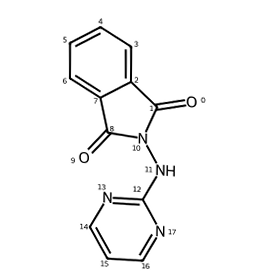 O=C1c2ccccc2C(=O)N1Nc1ncccn1